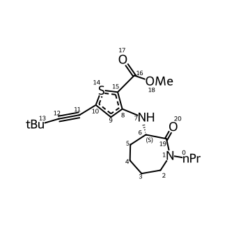 CCCN1CCCC[C@H](Nc2cc(C#CC(C)(C)C)sc2C(=O)OC)C1=O